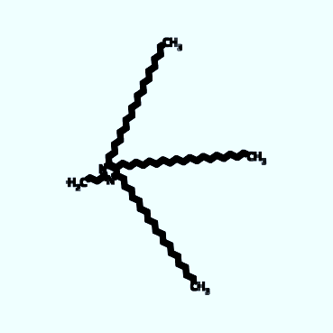 [CH2]CCc1nc(CCCCCCCCCCCCCCCCCCCC)c(CCCCCCCCCCCCCCCCCCCC)c(CCCCCCCCCCCCCCCCCCCC)n1